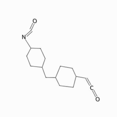 O=C=CC1CCC(CC2CCC(N=C=O)CC2)CC1